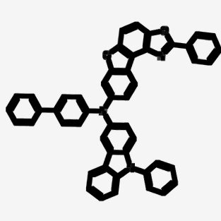 c1ccc(-c2ccc(N(c3ccc4c(c3)oc3ccc5oc(-c6ccccc6)nc5c34)c3ccc4c(c3)c3ccccc3n4-c3ccccc3)cc2)cc1